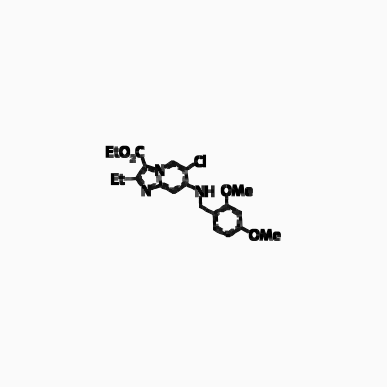 CCOC(=O)c1c(CC)nc2cc(NCc3ccc(OC)cc3OC)c(Cl)cn12